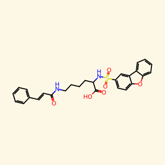 O=C(/C=C/c1ccccc1)NCCCCC(NS(=O)(=O)c1ccc2oc3ccccc3c2c1)C(=O)O